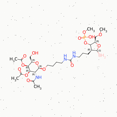 B[C@@H]1O[C@H](COC)C(OP(=O)(O)OC)[C@@H]1CCCNC(=O)NCCCCO[C@@H]1O[C@H](CO)[C@H](OC(C)=O)[C@H](OC(C)=O)[C@H]1NC(C)=O